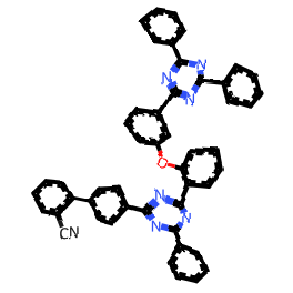 N#Cc1ccccc1-c1ccc(-c2nc(-c3ccccc3)nc(-c3ccccc3Oc3cccc(-c4nc(-c5ccccc5)nc(-c5ccccc5)n4)c3)n2)cc1